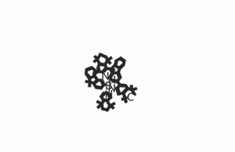 Cc1cc2c(c3c1N1c4c(ccc5c4-c4ccccc4C5(C)C)Bc4c(-c5cc6c(cc5Nc5ccc7c(c5)C(C)(C)CCC7(C)C)C(C)(C)CCC6(C)C)cc5c(c41)C3(C)c1ccccc1-5)C(C)(C)CCC2(C)C